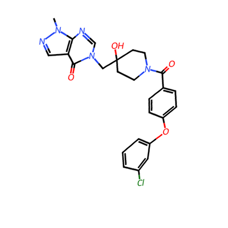 Cn1ncc2c(=O)n(CC3(O)CCN(C(=O)c4ccc(Oc5cccc(Cl)c5)cc4)CC3)cnc21